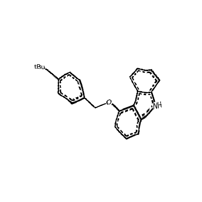 CC(C)(C)c1ccc(COc2cccc3[nH]c4ccccc4c23)cc1